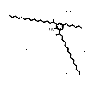 CCCCCCCCCCCCCCC(C)c1cc(CCCCCC)cc(C(C)CCCCCCCCCCCCCC)c1O